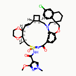 COc1nn(C)cc1C(=O)N[S@@]1(=O)=NC(=O)c2ccc3c(c2)N(C[C@@H]2CC[C@H]2/C=C/[C@H]2OCCO[C@@H]2[C@H](C)C1)C[C@@]1(CCCc2cc(Cl)ccc21)CO3